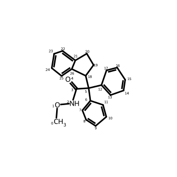 CONC(=O)C(c1ccccc1)(c1ccccc1)C1CCc2ccccc21